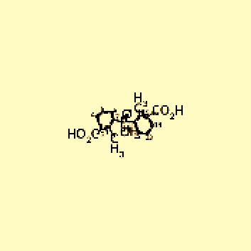 Cc1c(C(=O)O)cccc1P(=O)(O)c1cccc(C(=O)O)c1C